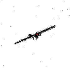 CCCCCCCCC=CCCCCCCCC(=O)OCCCC(CCOC(=O)CCCCCCCC=CCCCCCCCC)C[N+](C)(C)C.[Cl-]